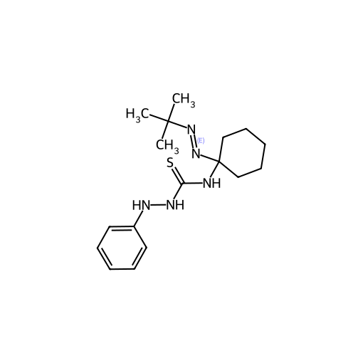 CC(C)(C)/N=N/C1(NC(=S)NNc2ccccc2)CCCCC1